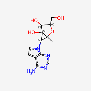 CC12O[C@H](CO)[C@H](O)[C@@]1(O)[C@@H]2n1ccc2c(N)ncnc21